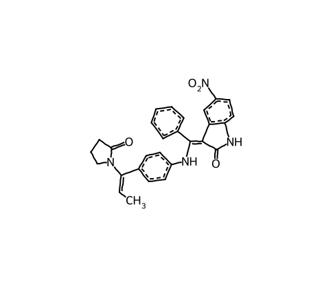 C/C=C(\c1ccc(N/C(=C2\C(=O)Nc3ccc([N+](=O)[O-])cc32)c2ccccc2)cc1)N1CCCC1=O